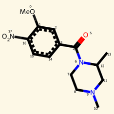 COc1cc(C(=O)N2CCN(C)CC2C)ccc1[N+](=O)[O-]